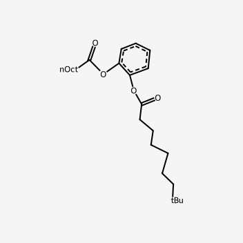 CCCCCCCCC(=O)Oc1ccccc1OC(=O)CCCCCCC(C)(C)C